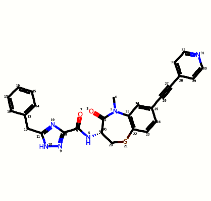 CN1C(=O)[C@@H](NC(=O)c2n[nH]c(Cc3ccccc3)n2)CSc2ccc(C#Cc3ccncc3)cc21